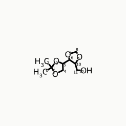 CC1(C)OCC(C2OCOC2CO)O1